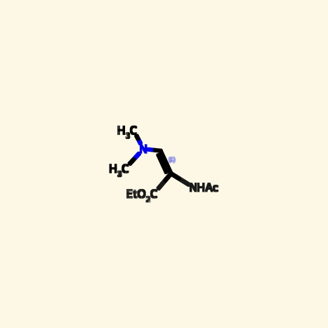 CCOC(=O)/C(=C\N(C)C)NC(C)=O